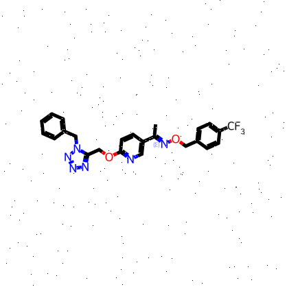 C/C(=N\OCc1ccc(C(F)(F)F)cc1)c1ccc(OCc2nnnn2Cc2ccccc2)nc1